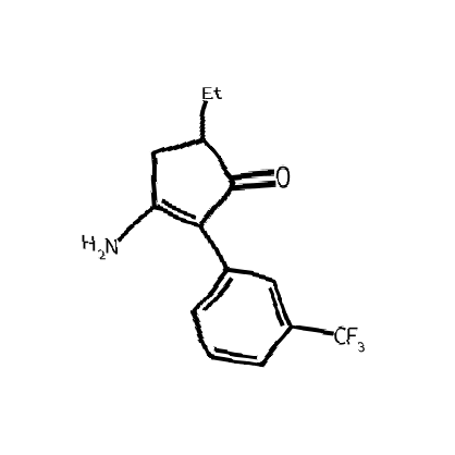 CCC1CC(N)=C(c2cccc(C(F)(F)F)c2)C1=O